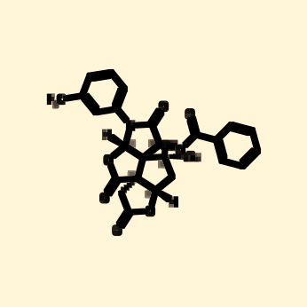 CC(C)(C)[C@]1(O)C[C@@H]2OC(=O)C[C@@]23C(=O)O[C@@H]2N(c4cccc(C(F)(F)F)c4)C(=O)[C@H](OC(=O)c4ccccc4)C213